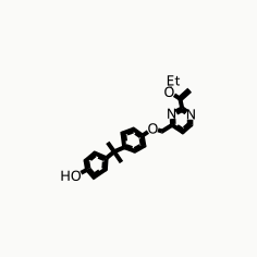 C=C(OCC)c1nccc(COc2ccc(C(C)(C)c3ccc(O)cc3)cc2)n1